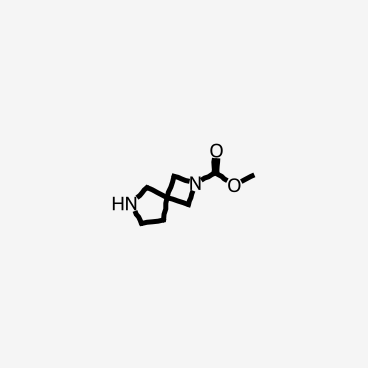 COC(=O)N1CC2(CCNC2)C1